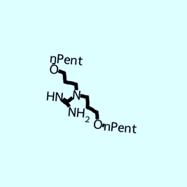 CCCCCOCCCN(CCCOCCCCC)C(=N)N